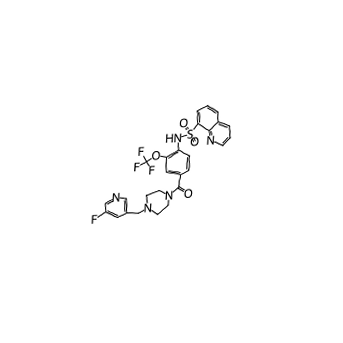 O=C(c1ccc(NS(=O)(=O)c2cccc3cccnc23)c(OC(F)(F)F)c1)N1CCN(Cc2cncc(F)c2)CC1